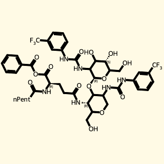 CCCCCC(=O)N[C@H](CCC(=O)N[C@H]1C(CO)OCC(NC(=O)Nc2cccc(C(F)(F)F)c2)C1O[C@@H]1OC(CO)[C@@H](O)C(O)C1NC(=O)Nc1cccc(C(F)(F)F)c1)C(=O)OC(=O)c1ccccc1